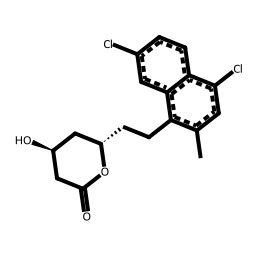 Cc1cc(Cl)c2ccc(Cl)cc2c1CC[C@H]1C[C@H](O)CC(=O)O1